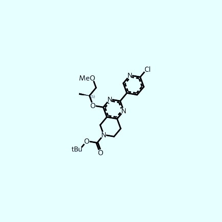 COC[C@H](C)Oc1nc(-c2ccc(Cl)nc2)nc2c1CN(C(=O)OC(C)(C)C)CC2